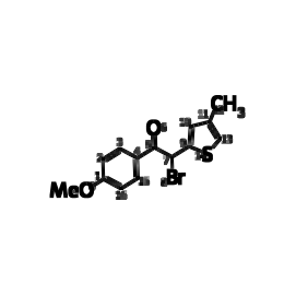 COc1ccc(C(=O)C(Br)c2cc(C)cs2)cc1